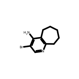 Nc1c(Br)cnc2c1CCCCC2